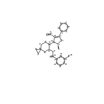 C[C@@H]1SC(c2ccccc2)=C(C=O)N1N1CCC2(CC2)CC1CNc1cccc(F)n1